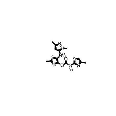 Cc1csc(NC(=O)Oc2nc(C)sc2Nc2cc(C)nn2C)n1